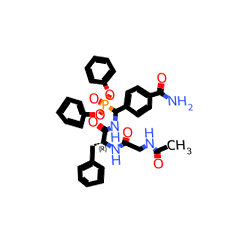 CC(=O)NCC(=O)N[C@H](Cc1ccccc1)C(=O)NC(c1ccc(C(N)=O)cc1)P(=O)(Oc1ccccc1)Oc1ccccc1